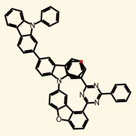 c1ccc(-c2nc(-c3ccccc3)nc(-c3cccc4oc5ccc(-n6c7ccccc7c7cc(-c8ccc9c%10ccccc%10n(-c%10ccccc%10)c9c8)ccc76)cc5c34)n2)cc1